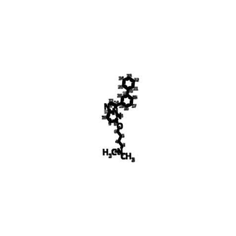 CN(C)CCCCOc1ccc2ncc(-c3cccc(-c4ccccc4)c3)n2n1